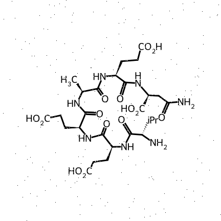 CC(C)[C@H](N)C(=O)N[C@@H](CCC(=O)O)C(=O)N[C@@H](CCC(=O)O)C(=O)N[C@@H](C)C(=O)N[C@@H](CCC(=O)O)C(=O)N[C@@H](CC(N)=O)C(=O)O